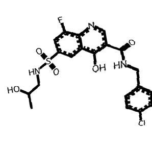 CC(O)CNS(=O)(=O)c1cc(F)c2ncc(C(=O)NCc3ccc(Cl)cc3)c(O)c2c1